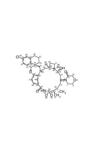 C[C@@H]1[C@@H](C)C[C@H](N2CCOCC2=O)C[C@H](O)[C@@H]2CC[C@H]2CN2C[C@@]3(CCCc4cc(Cl)ccc43)COc3ccc(cc32)C(=O)NS1(=O)=O